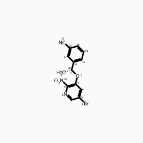 C[C@@H](Oc1cc(Br)cnc1[N+](=O)[O-])c1cccc(C#N)c1